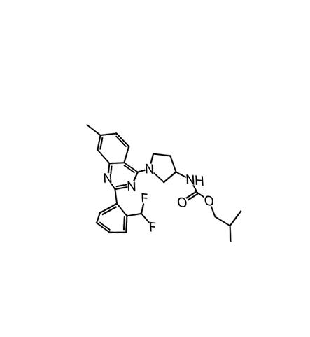 Cc1ccc2c(N3CCC(NC(=O)OCC(C)C)C3)nc(-c3ccccc3C(F)F)nc2c1